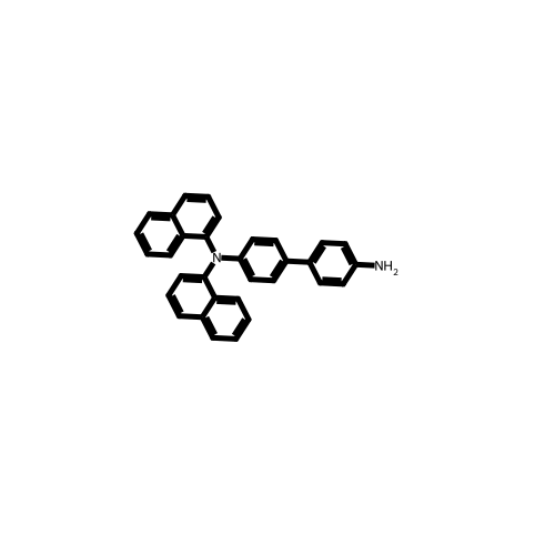 Nc1ccc(-c2ccc(N(c3cccc4ccccc34)c3cccc4ccccc34)cc2)cc1